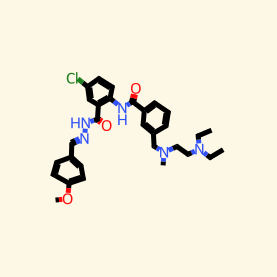 CCN(CC)CCN(C)Cc1cccc(C(=O)Nc2ccc(Cl)cc2C(=O)NN=Cc2ccc(OC)cc2)c1